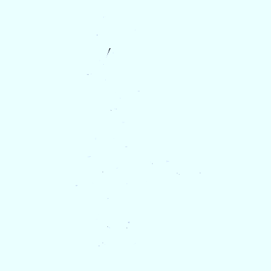 CC(C)(C)NC(=O)N1CCc2c(-c3cccc(-n4nccn4)c3)ccc(CNC(=O)[C@@H]3C[C@H]3c3ccccc3)c2C1